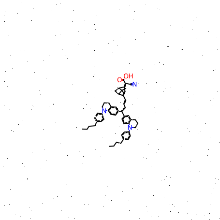 CCCCc1ccc(N2CCCc3cc(C(=C/C=C/C4=CC(=C(\C#N)C(=O)O)/C5CC4C5(C)C)c4ccc5c(c4)CCCN5c4ccc(CCCC)cc4)ccc32)cc1